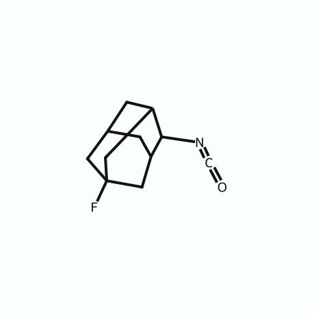 O=C=NC1C2CC3CC1CC(F)(C3)C2